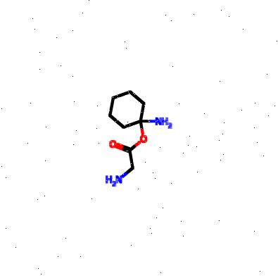 NCC(=O)OC1(N)CCCCC1